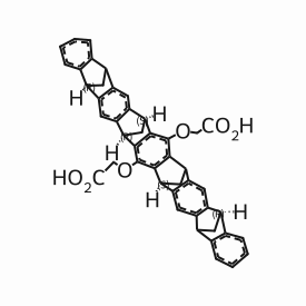 O=C(O)COc1c2c(c(OCC(=O)O)c3c1[C@@H]1C[C@H]3c3cc4c(cc31)[C@@H]1CC4c3ccccc31)C1C[C@H]2c2cc3c(cc21)[C@@H]1CC3c2ccccc21